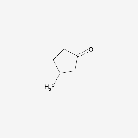 O=C1CCC(P)C1